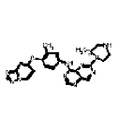 Cc1cc(Nc2ncnc3cnc(N4CCNC[C@H]4C)nc23)ccc1Oc1ccn2ncnc2c1